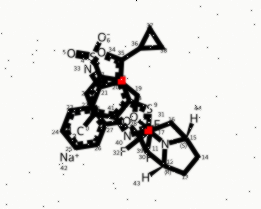 Cc1cc(S(=O)[O-])cc2sc(N3[C@@H]4CC[C@H]3C[C@H](OCc3c(-c5ccccc5OC(F)(F)F)noc3C3CC3)C4)nc12.[Na+]